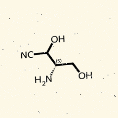 N#CC(O)[C@@H](N)CO